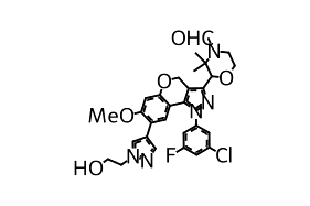 COc1cc2c(cc1-c1cnn(CCO)c1)-c1c(c(C3OCCN(C=O)C3(C)C)nn1-c1cc(F)cc(Cl)c1)CO2